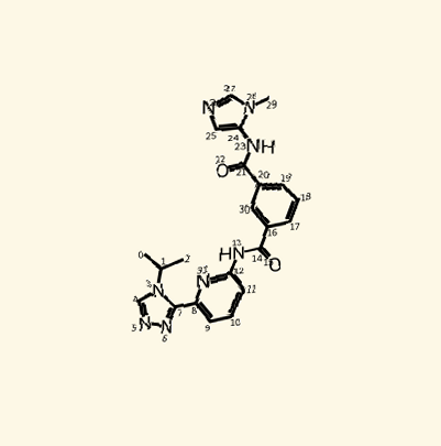 CC(C)n1cnnc1-c1cccc(NC(=O)c2cccc(C(=O)Nc3cncn3C)c2)n1